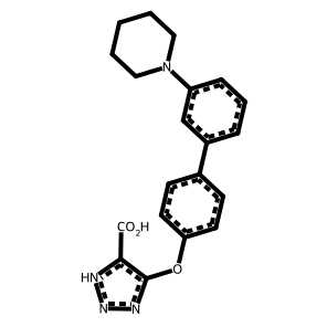 O=C(O)c1[nH]nnc1Oc1ccc(-c2cccc(N3CCCCC3)c2)cc1